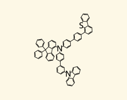 c1ccc(C2(c3ccccc3)c3ccccc3-c3c(N(c4ccc(-c5ccc(-c6cccc7c6sc6ccccc67)cc5)cc4)c4ccc(-c5cccc(-n6c7ccccc7c7ccccc76)c5)cc4)cccc32)cc1